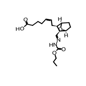 CCCOC(=O)NN=C[C@H]1[C@@H](C/C=C\CCCC(=O)O)[C@H]2CC[C@@H]1O2